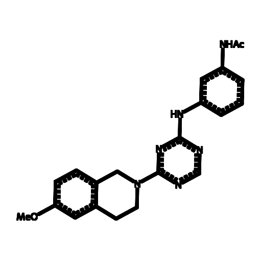 COc1ccc2c(c1)CCN(c1ncnc(Nc3cccc(NC(C)=O)c3)n1)C2